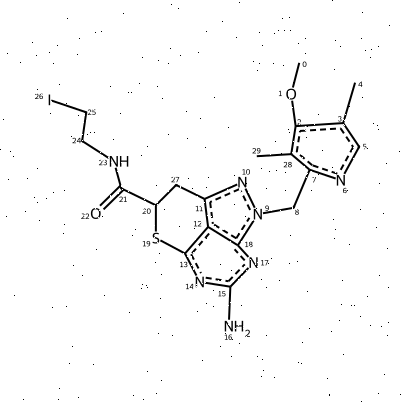 COc1c(C)cnc(Cn2nc3c4c(nc(N)nc42)SC(C(=O)NCCI)C3)c1C